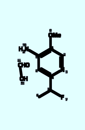 COc1cnc(C(C)F)cc1N.O=CO